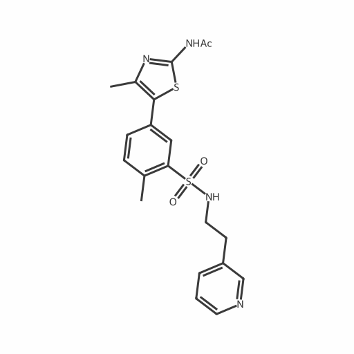 CC(=O)Nc1nc(C)c(-c2ccc(C)c(S(=O)(=O)NCCc3cccnc3)c2)s1